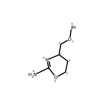 CC(C)OCC1CCOC(N)=N1